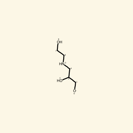 [O]CC(O)CNCCO